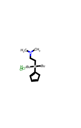 CC[CH](C)[Ti]([CH2]CN(C)C)([C]1=CC=CC1)[CH](C)CC.Cl.Cl